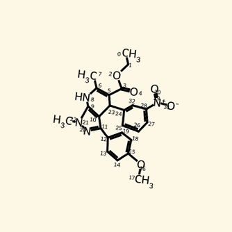 CCOC(=O)C1=C(C)Nc2c(c(-c3ccc(OC)cc3)nn2C)C1c1cccc([N+](=O)[O-])c1